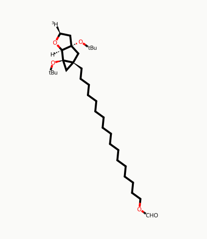 [3H][C@H]1C[C@@]2(OC(C)(C)C)C[C@]3(CCCCCCCCCCCCCCCCCOC=O)C[C@]3(OC(C)(C)C)[C@H]2O1